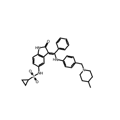 CC1CCN(Cc2ccc(NC(=C3C(=O)Nc4ccc(NS(=O)(=O)C5CC5)cc43)c3ccccc3)cc2)CC1